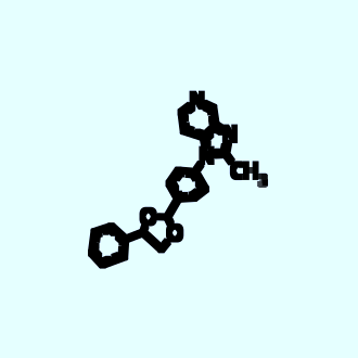 Cc1nc2cnccc2n1-c1ccc(C2OCC(c3ccccc3)O2)cc1